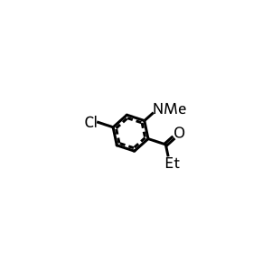 CCC(=O)c1ccc(Cl)cc1NC